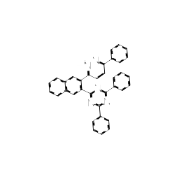 N=C(/C=C\C(=N)c1cc2ccccc2cc1-c1nc(-c2ccccc2)nc(-c2ccccc2)n1)c1ccccc1